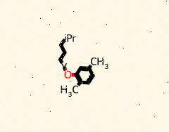 Cc1ccc(C)c([O][Y][CH2]CCC(C)C)c1